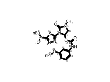 CCCC[S+]([O-])c1nnc(N2C(=O)N(C)CC2OC(=O)Nc2cccc(OCCC)c2)s1